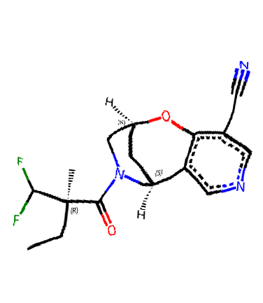 CC[C@](C)(C(=O)N1C[C@@H]2C[C@H]1c1cncc(C#N)c1O2)C(F)F